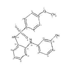 COc1ccc(S(=O)(=O)Nc2cccnc2Nc2cccc(O)c2)cc1